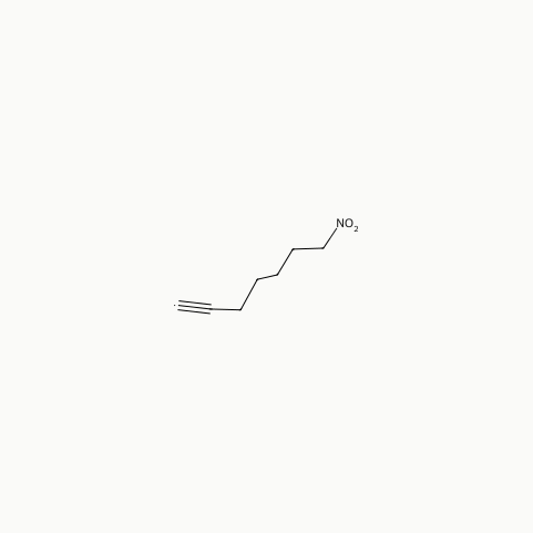 [C]#CCCCCC[N+](=O)[O-]